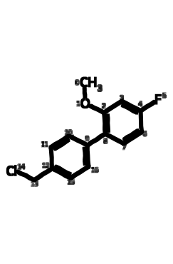 COc1cc(F)ccc1-c1[c]cc(CCl)cc1